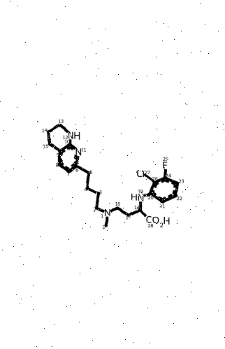 CN(CCCCc1ccc2c(n1)NCCC2)CCC(Nc1cccc(F)c1Cl)C(=O)O